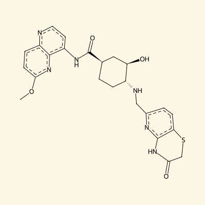 COc1ccc2nccc(NC(=O)[C@@H]3CC[C@@H](NCc4ccc5c(n4)NC(=O)CS5)[C@H](O)C3)c2n1